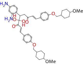 COC1CCC(COc2ccc(/C=C/C(=O)CC(c3ccc(N)cc3N)C(O)(O)C(=O)/C=C/c3ccc(OCC4CCC(OC)CC4)cc3)cc2)CC1